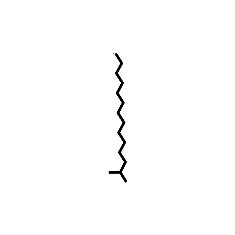 [CH2]CCCCCCCCCCC[C](C)C